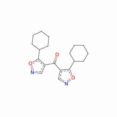 O=C(c1cnoc1C1CCCCC1)c1cnoc1C1CCCCC1